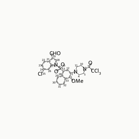 COc1c(N2CCN(C(=O)C(Cl)(Cl)Cl)CC2)cc(S(=O)(=O)n2cc(C=O)c3ccc(Cl)cc32)c2ccccc12